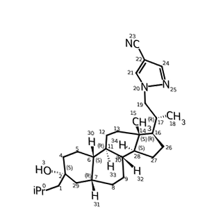 CC(C)C[C@@]1(O)CC[C@H]2[C@H](CC[C@@H]3[C@@H]2CC[C@]2(C)[C@@H]([C@@H](C)Cn4cc(C#N)cn4)CC[C@@H]32)C1